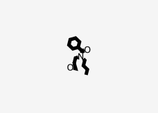 CCCCN(CC1CO1)C(=O)C1CCCCC1